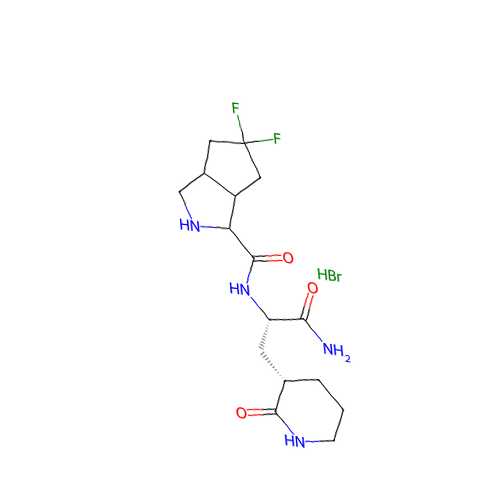 Br.NC(=O)[C@H](C[C@@H]1CCCNC1=O)NC(=O)C1NCC2CC(F)(F)CC21